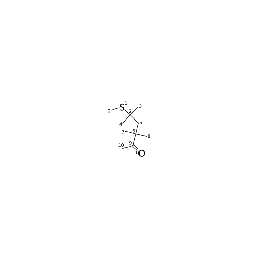 CSC(C)(C)CC(C)(C)C(C)=O